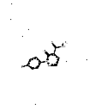 CNC(=O)c1ccnn(-c2ccc(F)cc2)c1=O